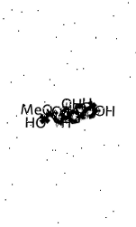 CO[C@@H](C1C[C@@H](C)[C@H]2C(O1)[C@H](O)[C@@]1(C)C3CC[C@H]4C(C)(C)[C@@H](O)CC[C@@]45C[C@@]35CC[C@]21C)C(C)(C)O